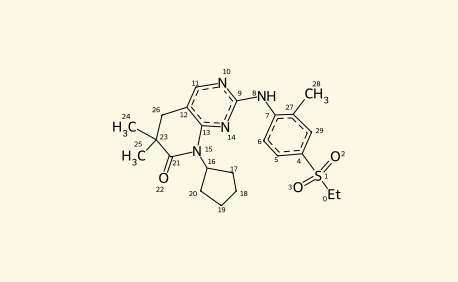 CCS(=O)(=O)c1ccc(Nc2ncc3c(n2)N(C2CCCC2)C(=O)C(C)(C)C3)c(C)c1